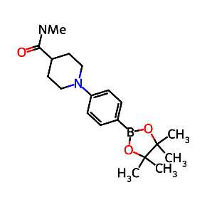 CNC(=O)C1CCN(c2ccc(B3OC(C)(C)C(C)(C)O3)cc2)CC1